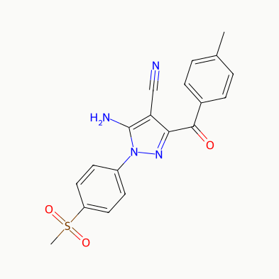 Cc1ccc(C(=O)c2nn(-c3ccc(S(C)(=O)=O)cc3)c(N)c2C#N)cc1